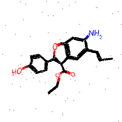 CCCc1cc2c(C(=O)OCC)c(-c3ccc(O)cc3)oc2cc1N